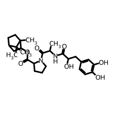 CC(NC(=O)C(O)Cc1ccc(O)c(O)c1)C(=O)N1CCCC1C(=O)OC1CC2CCC1(C)C2(C)C